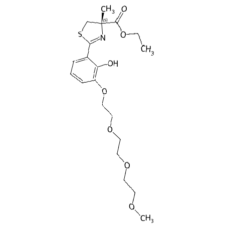 CCOC(=O)[C@@]1(C)CSC(c2cccc(OCCOCCOCCOC)c2O)=N1